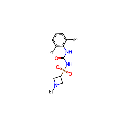 CCN1CC(S(=O)(=O)NC(=O)Nc2c(C(C)C)cccc2C(C)C)C1